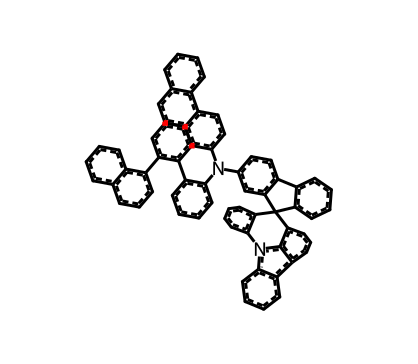 c1ccc(-c2cccc3ccccc23)c(-c2ccccc2N(c2ccc3c(c2)C2(c4ccccc4-3)c3ccccc3-n3c4ccccc4c4cccc2c43)c2ccc3c(ccc4ccccc43)c2)c1